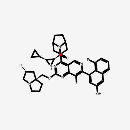 O=C([C@H]1N[C@H]1C1CC1)N1C2CCC1CN(c1nc(OC[C@@]34CCCN3C[C@H](F)C4)nc3c(F)c(-c4cc(O)cc5cccc(F)c45)ncc13)C2